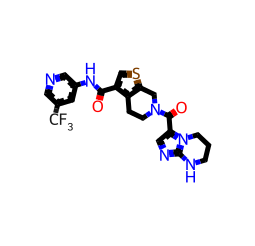 O=C(Nc1cncc(C(F)(F)F)c1)c1csc2c1CCN(C(=O)c1cnc3n1CCCN3)C2